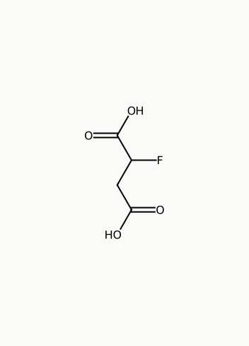 O=C(O)CC(F)C(=O)O